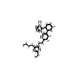 CCCCc1nc(CC)nn1CCc1ccc(-c2ccccc2-c2nnn[nH]2)cn1